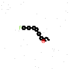 C=C/C=C\c1c(C)oc2ccc(-c3ccc(-c4ccc5ccc(-c6ccc(-c7ccc(F)cc7)cc6)cc5c4)cc3)cc12